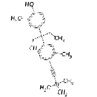 CCC(CC)(c1ccc(O)c(C)c1)c1ccc(C#C[Si](C)(C)C)c(C)c1